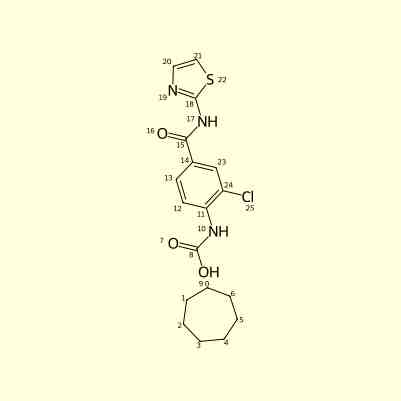 C1CCCCCC1.O=C(O)Nc1ccc(C(=O)Nc2nccs2)cc1Cl